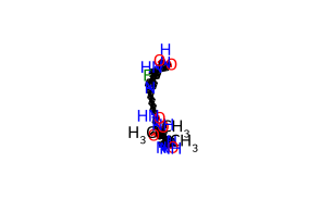 COc1cc(-c2cn(C)c(=O)c3[nH]ncc23)cc(OC)c1CNCC(=O)NCCCCCCCCN1CCC(c2ccc(NC3CCC(=O)NC3=O)cc2F)CC1